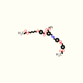 C=CC(=O)OCCCCCCOc1ccc(C(=O)Oc2ccc(/C=N/N=C/c3ccc(OOCc4ccc(OC(=O)C=C)cc4)cc3)cc2C(=O)OCCC)cc1